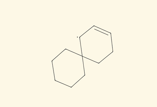 [CH]1C=CCCC12CCCCC2